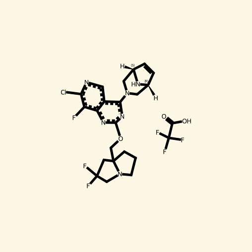 Fc1c(Cl)ncc2c(N3C[C@H]4C=C[C@@H](C3)N4)nc(OCC34CCCN3CC(F)(F)C4)nc12.O=C(O)C(F)(F)F